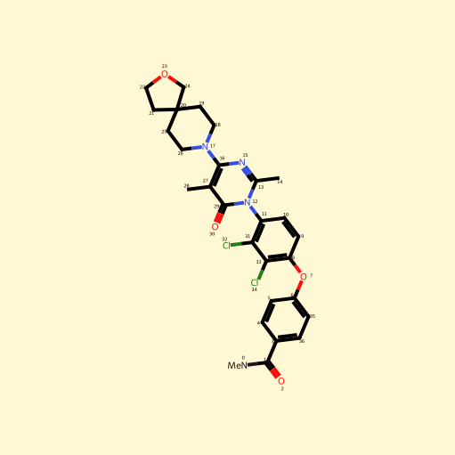 CNC(=O)c1ccc(Oc2ccc(-n3c(C)nc(N4CCC5(CCOC5)CC4)c(C)c3=O)c(Cl)c2Cl)cc1